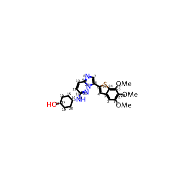 COc1cc2cc(-c3cnc4ccc(N[C@H]5CC[C@H](O)CC5)nn34)sc2c(OC)c1OC